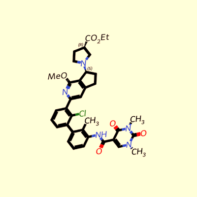 CCOC(=O)[C@@H]1CCN([C@H]2CCc3cc(-c4cccc(-c5cccc(NC(=O)c6cn(C)c(=O)n(C)c6=O)c5C)c4Cl)nc(OC)c32)C1